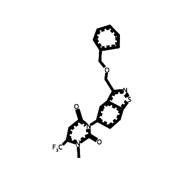 Cn1c(C(F)(F)F)cc(=O)n(-c2ccc3snc(COCc4ccccc4)c3c2)c1=O